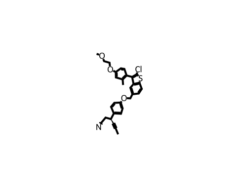 CC#C[C@@H](CC#N)c1ccc(OCc2ccc3sc(Cl)c(-c4ccc(OCCOC)cc4C)c3c2)cc1